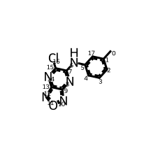 Cc1cccc(Nc2nc3nonc3nc2Cl)c1